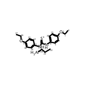 CCOc1ccc(NC(=S)Nc2ccc(OCC)cc2)cc1.CC[CH2][AlH2]